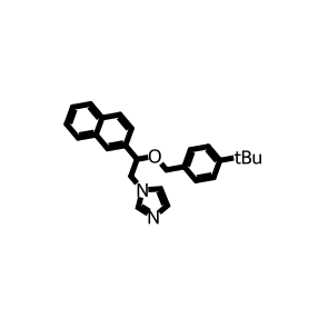 CC(C)(C)c1ccc(COC(Cn2ccnc2)c2ccc3ccccc3c2)cc1